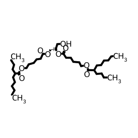 CCCCCCC(CCCC)C(=O)OCCCCCC(=O)OC[C@H](CO)OC(=O)CCCCCOC(=O)C(CCCC)CCCCCC